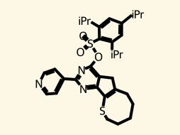 CC(C)c1cc(C(C)C)c(S(=O)(=O)Oc2nc(-c3ccncc3)nc3c2CC2=C3SCCCCC2)c(C(C)C)c1